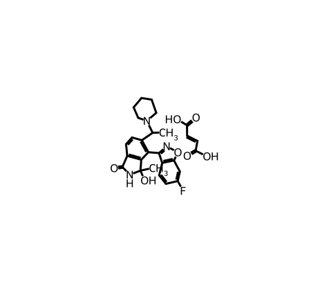 CC(c1ccc2c(c1-c1noc3cc(F)ccc13)C(C)(O)NC2=O)N1CCCCC1.O=C(O)C=CC(=O)O